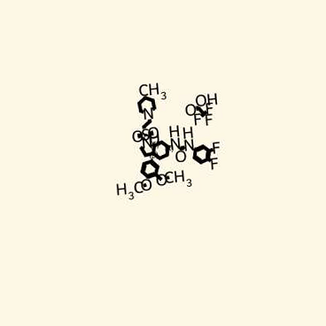 COc1ccc([C@@]23CC[C@@H](NC(=O)Nc4ccc(F)c(F)c4)C[C@@H]2N(S(=O)(=O)CCN2CCC(C)CC2)CC3)cc1OC.O=C(O)C(F)(F)F